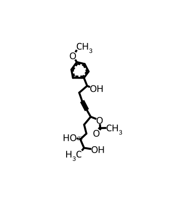 COc1ccc(C(O)CC#CC(CC[C@H](O)C(C)O)OC(C)=O)cc1